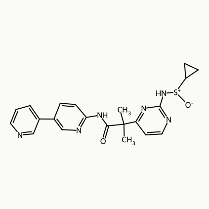 CC(C)(C(=O)Nc1ccc(-c2cccnc2)cn1)c1ccnc(N[S+]([O-])C2CC2)n1